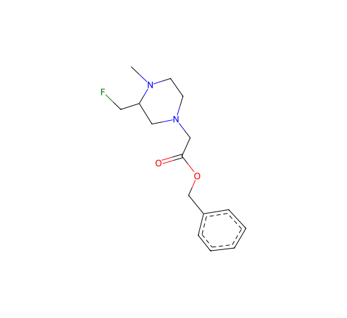 CN1CCN(CC(=O)OCc2ccccc2)CC1CF